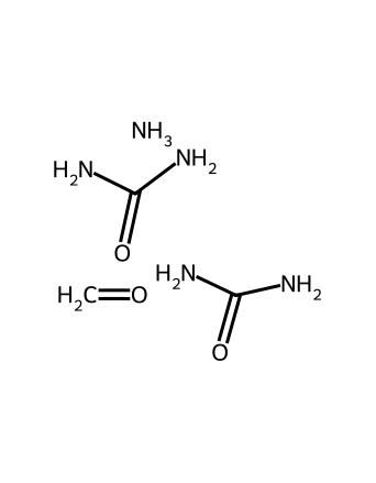 C=O.N.NC(N)=O.NC(N)=O